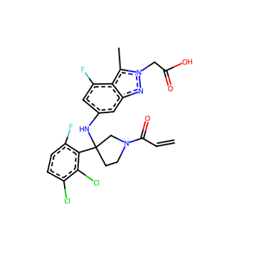 C=CC(=O)N1CCC(Nc2cc(F)c3c(C)n(CC(=O)O)nc3c2)(c2c(F)ccc(Cl)c2Cl)C1